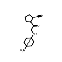 N#C[C@@H]1CCCN1C(=O)CNC12CCC(N)(CC1)CC2